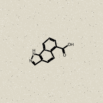 O=C(O)c1cccc2c1ccc1cn[nH]c12